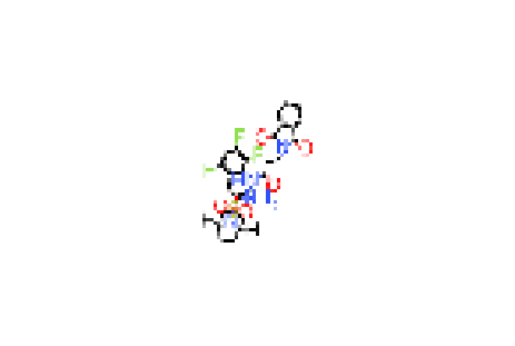 NC(Cc1cc(F)c(F)cc1F)[C@@H]1C[C@H]2CC[C@@H](C1)N2S(=O)(=O)CCNC(=O)CCN1C(=O)c2ccccc2C1=O